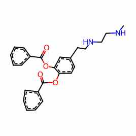 CNCCNCCc1ccc(OC(=O)c2ccccc2)c(OC(=O)c2ccccc2)c1